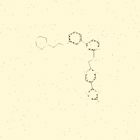 FC(F)(F)c1nc(-c2cnc(CNc3nccc(-c4cccc(OCCN5CCOCC5)c4)n3)nc2)no1